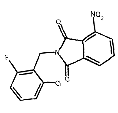 O=C1c2cccc([N+](=O)[O-])c2C(=O)N1Cc1c(F)cccc1Cl